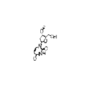 O=c1ccn([C@H]2C[C@H](OF)[C@@H](CO)O2)c(=O)[nH]1